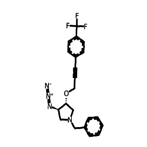 [N-]=[N+]=N[C@@H]1CN(Cc2ccccc2)C[C@H]1OCC#Cc1ccc(C(F)(F)F)cc1